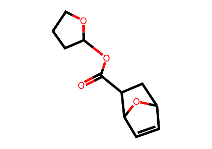 O=C(OC1CCCO1)C1CC2C=CC1O2